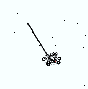 CC#CC#CC#CC#CC#CC#CC#CC#CC#CC#CC#CC#CC(=O)N[C@@H](CO[C@H]1OC(CO[Si](c2ccccc2)(c2ccccc2)C(C)(C)C)[C@H](C)[C@H](C)C1C)[C@H](OCc1ccccc1)[C@@H](C=CCCCCCCCCCCCC)OCc1ccccc1